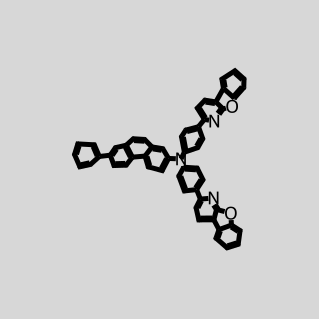 c1ccc(-c2ccc3c(ccc4cc(N(c5ccc(-c6ccc7c(n6)oc6ccccc67)cc5)c5ccc(-c6ccc7c(n6)oc6ccccc67)cc5)ccc43)c2)cc1